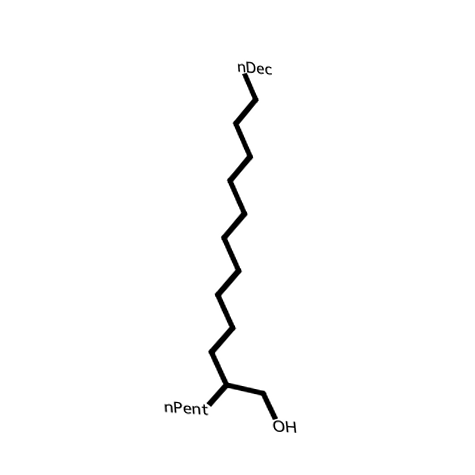 CCCCCCCCCCCCCCCCCCCCC(CO)CCCCC